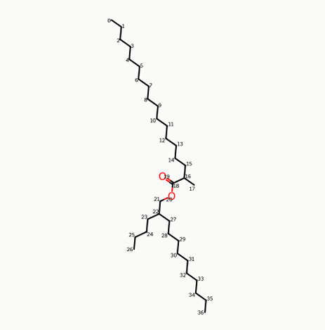 CCCCCCCCCCCCCCCCC(C)C(=O)OCC(CCCC)CCCCCCCCCC